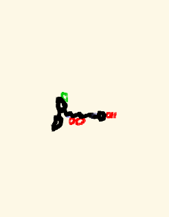 O=C(/C=C/c1ccc(O)cc1)CC(=O)/C=C/c1cc(Cl)ccc1-c1ccccc1